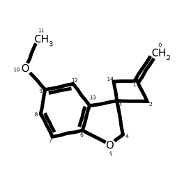 C=C1CC2(COc3ccc(OC)cc32)C1